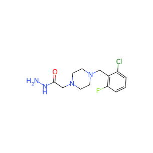 NNC(=O)CN1CCN(Cc2c(F)cccc2Cl)CC1